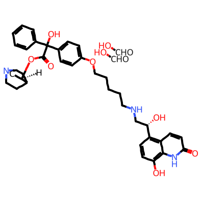 O=C(O[C@@H]1CN2CCC1CC2)C(O)(c1ccccc1)c1ccc(OCCCCCNC[C@H](O)c2ccc(O)c3[nH]c(=O)ccc23)cc1.O=CO.O=CO